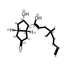 C=CCCC(C)(C)CC=C(O)[C@@H]1[C@@H]2CC(=O)C[C@@H]2C[C@@H]1O